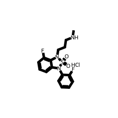 CNCCCN1c2c(F)cccc2N(c2ccccc2F)S1(=O)=O.Cl